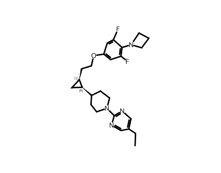 CCc1cnc(N2CCC([C@H]3C[C@H]3CCOc3cc(F)c(N4CCC4)c(F)c3)CC2)nc1